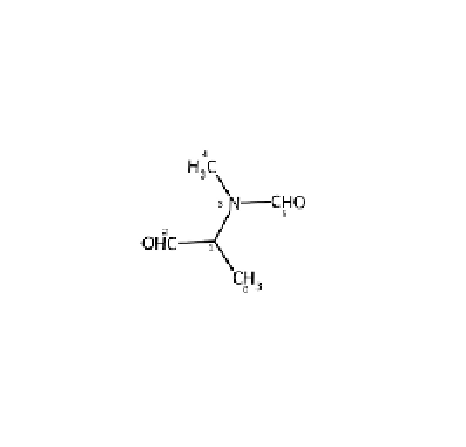 CC([C]=O)N(C)C=O